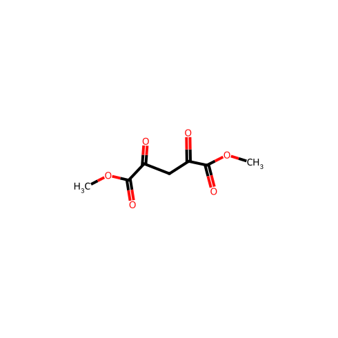 COC(=O)C(=O)CC(=O)C(=O)OC